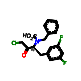 O=C(CCl)[C@H](Cc1cc(F)cc(F)c1)N(Cc1ccccc1)C(=O)O